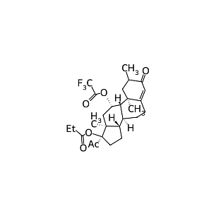 CCC(=O)O[C@]1(C(C)=O)CC[C@H]2[C@@H]3CCC4=CC(=O)C(C)C[C@]4(C)[C@H]3[C@@H](OC(=O)C(F)(F)F)C[C@@]21C